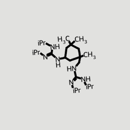 CC(C)N=C(NCC1(C)CC(NC(=NC(C)C)NC(C)C)CC(C)(C)C1)NC(C)C